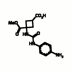 COC(=O)C1(NC(=O)Nc2ccc(N)cc2)CC(C(=O)O)C1